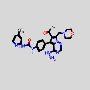 CC(C)C(=O)c1c(-c2ccc(NC(=O)Nc3cc(C(F)(F)F)ccn3)cc2)c2c(NN)ncnn2c1CN1CCOCC1